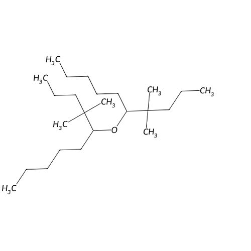 CCCCCC(OC(CCCCC)C(C)(C)CCC)C(C)(C)CCC